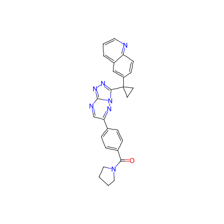 O=C(c1ccc(-c2cnc3nnc(C4(c5ccc6ncccc6c5)CC4)n3n2)cc1)N1CCCC1